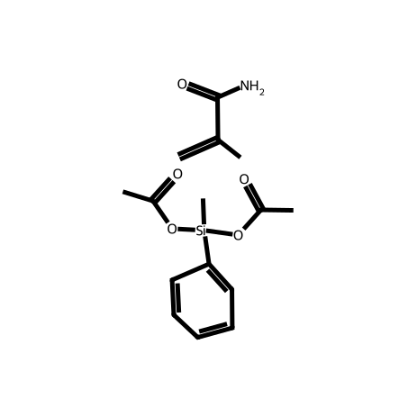 C=C(C)C(N)=O.CC(=O)O[Si](C)(OC(C)=O)c1ccccc1